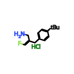 CC(C)(C)c1ccc(C/C(=C/F)CN)cc1.Cl